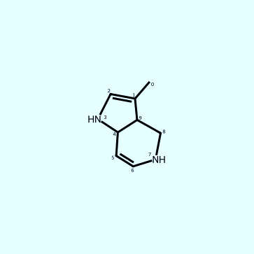 CC1=CNC2C=CNCC12